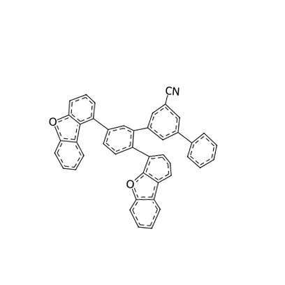 N#Cc1cc(-c2ccccc2)cc(-c2cc(-c3cccc4oc5ccccc5c34)ccc2-c2cccc3c2oc2ccccc23)c1